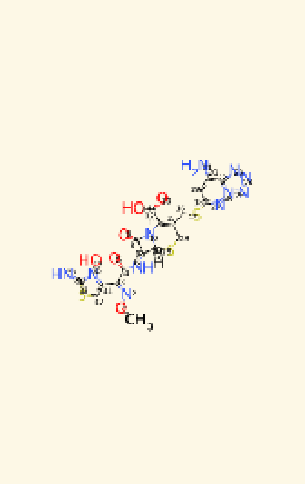 CON=C(C(=O)N[C@@H]1C(=O)N2C(C(=O)O)=C(CSc3cc(N)c4nnnn4n3)CS[C@@H]12)c1csc(=N)n1O